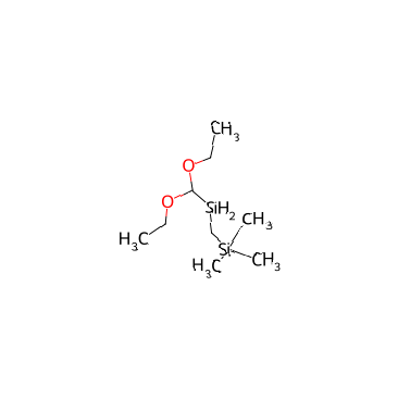 CCOC(OCC)[SiH2]C[Si](C)(C)C